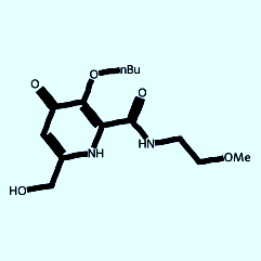 CCCCOc1c(C(=O)NCCOC)[nH]c(CO)cc1=O